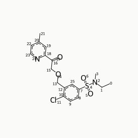 CCN(C)S(=O)(=O)c1ccc(Cl)c(COCC(=O)c2cc(C)ccn2)c1